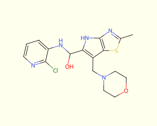 Cc1nc2[nH]c(C(O)Nc3cccnc3Cl)c(CN3CCOCC3)c2s1